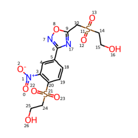 O=[N+]([O-])c1cc(-c2noc(CS(=O)(=O)CCO)n2)ccc1S(=O)(=O)CCO